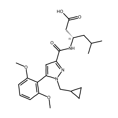 COc1cccc(OC)c1-c1cc(C(=O)N[C@H](CC(=O)O)CC(C)C)nn1CC1CC1